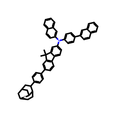 CC1(C)c2cc(-c3ccc(C4CC5CC6CCC4C(C6)C5)cc3)ccc2-c2ccc(N(c3ccc(-c4ccc5ccccc5c4)cc3)c3ccc4ccccc4c3)cc21